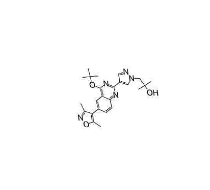 Cc1noc(C)c1-c1ccc2nc(-c3cnn(CC(C)(C)O)c3)nc(OC(C)(C)C)c2c1